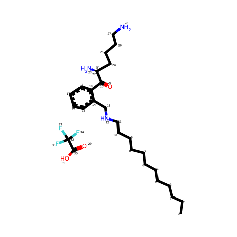 CCCCCCCCCCCCNCc1ccccc1C(=O)[C@@H](N)CCCCN.O=C(O)C(F)(F)F